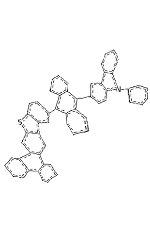 c1ccc(-n2c3ccccc3c3cc(-c4c5ccccc5c(-c5ccc6sc7cc8c9ccccc9c9ccccc9c8cc7c6c5)c5ccccc45)ccc32)cc1